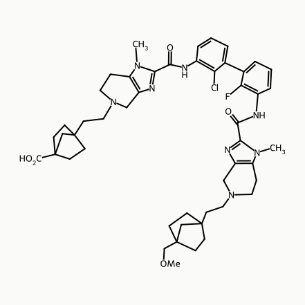 COCC12CCC(CCN3CCc4c(nc(C(=O)Nc5cccc(-c6cccc(NC(=O)c7nc8c(n7C)CCN(CCC79CCC(C(=O)O)(CC7)C9)C8)c6Cl)c5F)n4C)C3)(CC1)C2